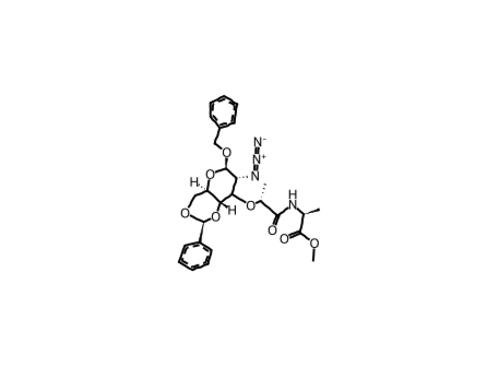 COC(=O)[C@H](C)NC(=O)[C@@H](C)OC1[C@@H](N=[N+]=[N-])[C@H](OCc2ccccc2)O[C@@H]2CO[C@H](c3ccccc3)O[C@@H]12